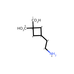 NCCC1CC(C(=O)O)(C(=O)O)C1